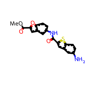 COC(=O)c1cc2cc(NC(=O)c3cc4cc(N)ccc4s3)ccc2o1